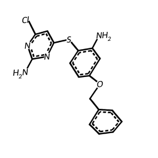 Nc1nc(Cl)cc(Sc2ccc(OCc3ccccc3)cc2N)n1